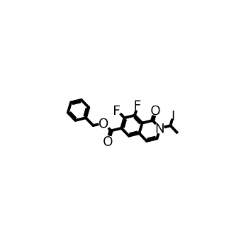 CC(I)n1ccc2cc(C(=O)OCc3ccccc3)c(F)c(F)c2c1=O